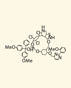 COc1ccc(C(OC[C@@H]2COC3CCC(OCc4ccnc(-c5ccccc5OC)n4)C(CCOC4NSC5CNC(Cl)C(C45)C4(C)CC(Cl)C(O2)C(Cl)C4)C3)(c2ccccc2)c2ccc(OC)cc2)cc1